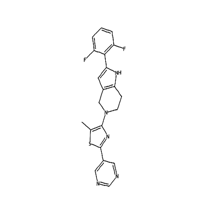 Cc1sc(-c2cncnc2)nc1N1CCc2[nH]c(-c3c(F)cccc3F)cc2C1